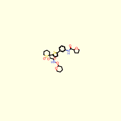 O=C(C[C@]1(c2ccc(-c3cccc(NC(=O)C4CCCO4)c3)s2)CCCCS1(=O)=O)NOC1CCCCO1